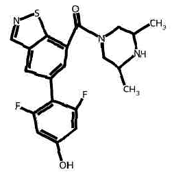 CC1CN(C(=O)c2cc(-c3c(F)cc(O)cc3F)cc3cnsc23)CC(C)N1